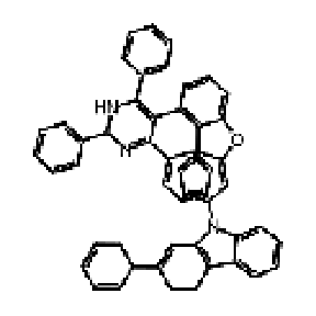 C1=CCC(C2=Cc3c(c4ccccc4n3-c3ccc4c(c3)oc3cccc(C5=C(c6ccccc6)NC(c6ccccc6)N=C5c5ccccc5)c34)CC2)C=C1